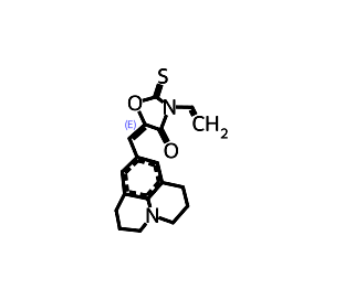 C=CN1C(=O)/C(=C\c2cc3c4c(c2)CCCN4CCC3)OC1=S